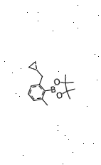 Cc1cccc(CC2CC2)c1B1OC(C)(C)C(C)(C)O1